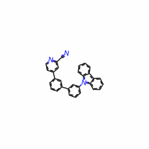 N#Cc1cc(-c2cccc(-c3cccc(-n4c5ccccc5c5ccccc54)c3)c2)ccn1